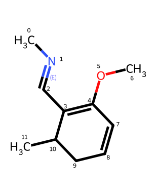 C/N=C/C1=C(OC)C=CCC1C